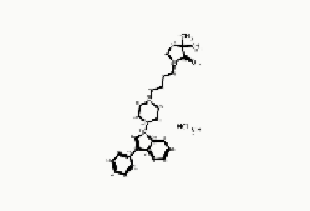 CC1(C)SCN(CCCCN2CCN(n3cc(-c4ccccc4)c4ccccc43)CC2)C1=O.Cl.Cl